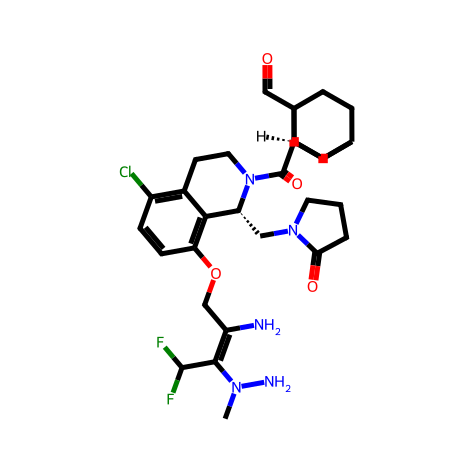 CN(N)/C(=C(\N)COc1ccc(Cl)c2c1[C@@H](CN1CCCC1=O)N(C(=O)[C@@H]1CC3CCC1(C=O)CC3)CC2)C(F)F